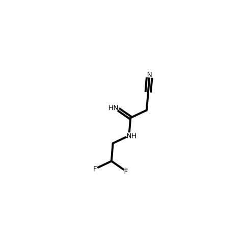 N#CCC(=N)NCC(F)F